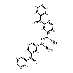 C#CC(OC(C#C)c1cccc(C(=O)c2ccccc2)c1)c1cccc(C(=O)c2ccccc2)c1